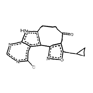 O=C1CCc2[nH]c3ncnc(Cl)c3c2-c2noc(C3CC3)c21